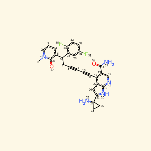 Cn1cccc(C(CC#CC#Cc2c(C(N)=O)cnc3[nH]c(C4(N)CC4)cc23)c2cc(F)ccc2F)c1=O